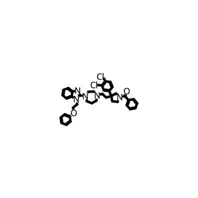 O=C(c1ccccc1)N1CCC(CCN2CCCN(c3nc4ccccc4n3CCOc3ccccc3)CC2)(c2ccc(Cl)c(Cl)c2)C1